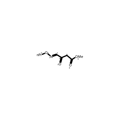 CCCON=CC(=O)CC(=O)OC